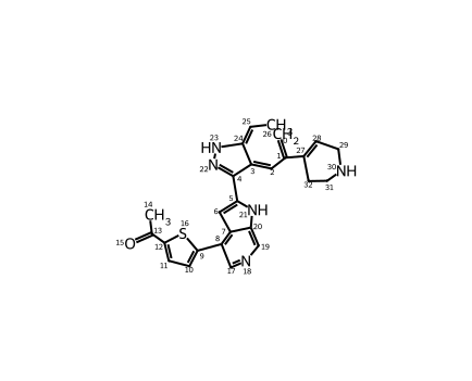 C=C(/C=c1/c(-c2cc3c(-c4ccc(C(C)=O)s4)cncc3[nH]2)n[nH]/c1=C/C)C1=CCNCC1